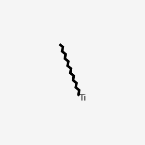 CCCCCCCCCCCCCC[CH2][Ti]